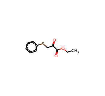 CCOC(=O)C(=O)CSc1ccccc1